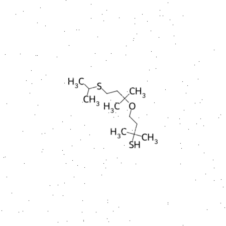 CC(C)SCCC(C)(C)OCCC(C)(C)S